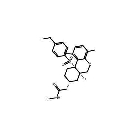 CCNC(=O)C[C@@H]1CC[C@@]2(S(=O)(=O)c3ccc(CF)cc3)c3c(F)ccc(F)c3OC[C@H]2C1